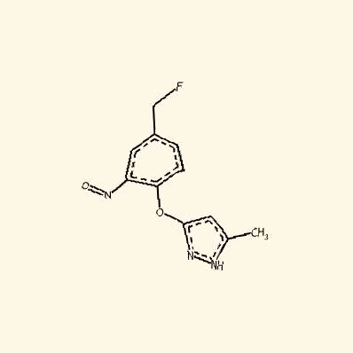 Cc1cc(Oc2ccc(CF)cc2N=O)n[nH]1